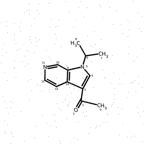 CC(=O)c1cn(C(C)C)c2cnccc12